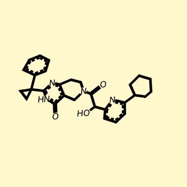 O=C(C(O)c1cccc(C2CCCCC2)n1)N1CCc2nc(C3(c4ccccc4)CC3)[nH]c(=O)c2C1